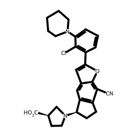 N#Cc1c2c(cc3cc(-c4cccc(N5CCCCC5)c4Cl)oc13)[C@H](N1CC[C@@H](C(=O)O)C1)CC2